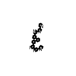 c1ccc(-c2ccnc(-c3cncc(-c4cccc(-c5ccccc5-c5cccc(-c6cncc(-c7cc(-c8ccccn8)ccn7)c6)c5)c4)c3)c2)nc1